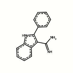 N=C(N)c1c(-c2ccccc2)[nH]c2ccccc12